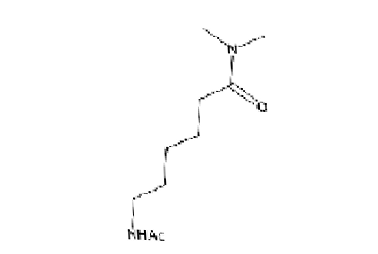 CC(=O)NCCCCCC(=O)N(C)C